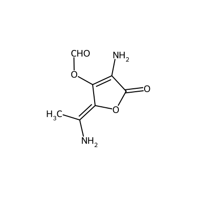 C/C(N)=C1/OC(=O)C(N)=C1OC=O